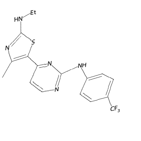 CCNc1nc(C)c(-c2ccnc(Nc3ccc(C(F)(F)F)cc3)n2)s1